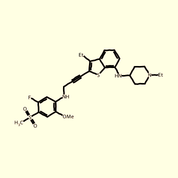 CCc1c(C#CCNc2cc(F)c(S(C)(=O)=O)cc2OC)sc2c(NC3CCN(CC)CC3)cccc12